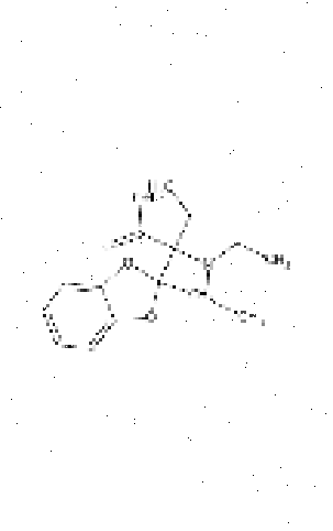 CCN(CC)C(CC)(C(=O)O)C1(C)Oc2ccccc2O1